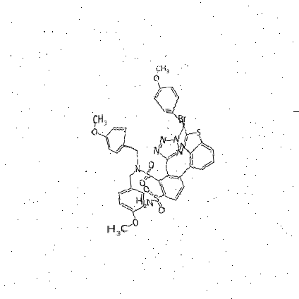 COc1ccc(CN(Cc2ccc(OC)cc2)S(=O)(=O)c2c(S(N)(=O)=O)ccc(-c3cccc4sc(Br)nc34)c2-c2nnn(Cc3ccc(OC)cc3)n2)cc1